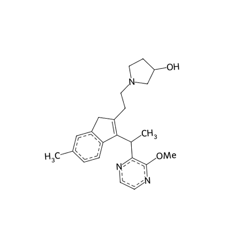 COc1nccnc1C(C)C1=C(CCN2CCC(O)C2)Cc2cc(C)ccc21